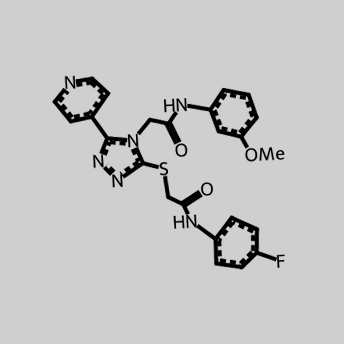 COc1cccc(NC(=O)Cn2c(SCC(=O)Nc3ccc(F)cc3)nnc2-c2ccncc2)c1